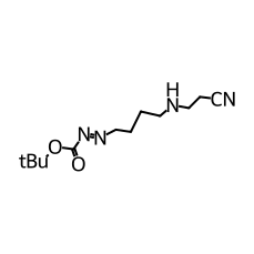 CC(C)(C)OC(=O)N=NCCCCNCCC#N